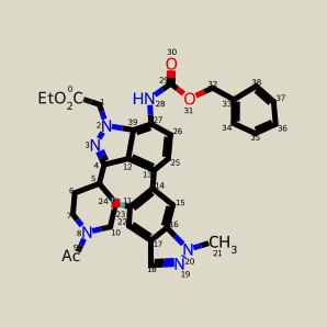 CCOC(=O)Cn1nc(C2CCN(C(C)=O)CC2)c2c(-c3cc4c(cnn4C)cc3F)ccc(NC(=O)OCc3ccccc3)c21